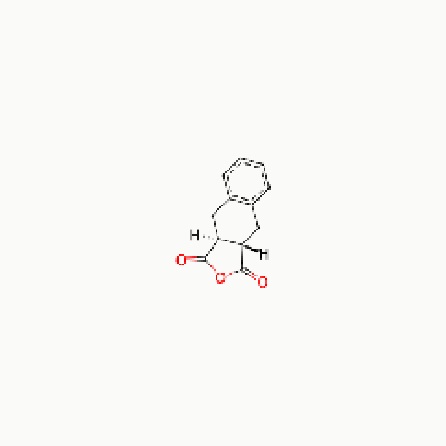 O=C1OC(=O)[C@H]2Cc3ccccc3C[C@H]12